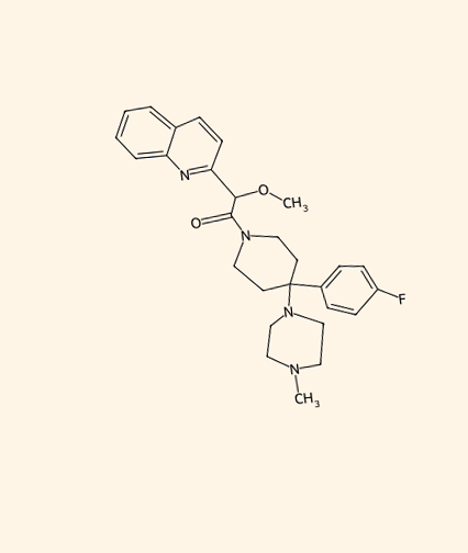 COC(C(=O)N1CCC(c2ccc(F)cc2)(N2CCN(C)CC2)CC1)c1ccc2ccccc2n1